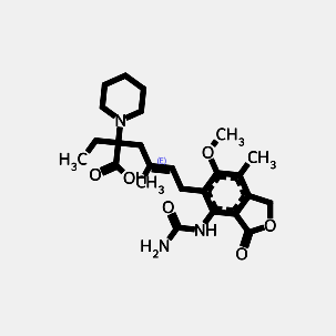 CCC(C/C(C)=C/Cc1c(NC(N)=O)c2c(c(C)c1OC)COC2=O)(C(=O)O)N1CCCCC1